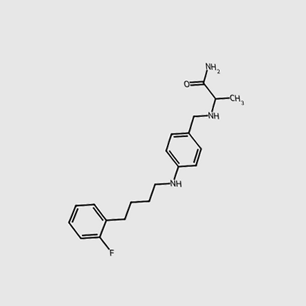 CC(NCc1ccc(NCCCCc2ccccc2F)cc1)C(N)=O